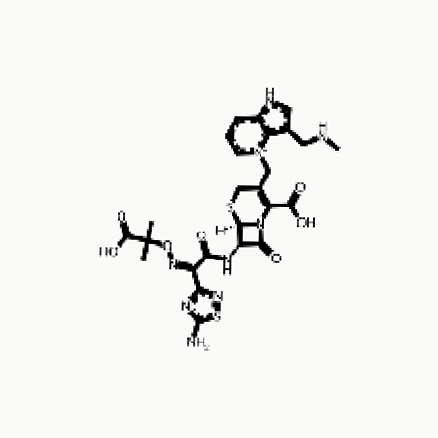 CNCc1c[nH]c2ccc[n+](CC3=C(C(=O)O)N4C(=O)[C@@H](NC(=O)/C(=N\OC(C)(C)C(=O)O)c5nsc(N)n5)[C@H]4SC3)c12